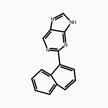 c1ccc2c(-c3ncc4nc[nH]c4n3)cccc2c1